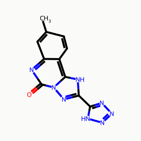 Cc1ccc2c(c1)nc(=O)n1nc(-c3nnn[nH]3)[nH]c21